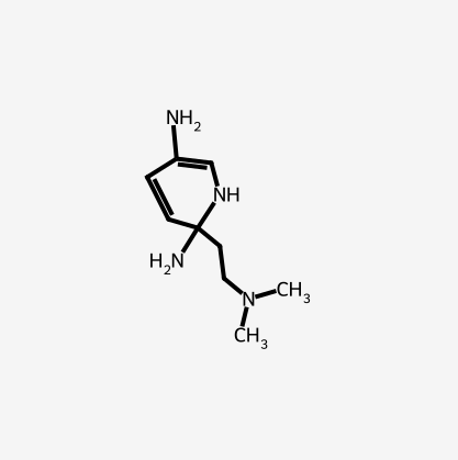 CN(C)CCC1(N)C=CC(N)=CN1